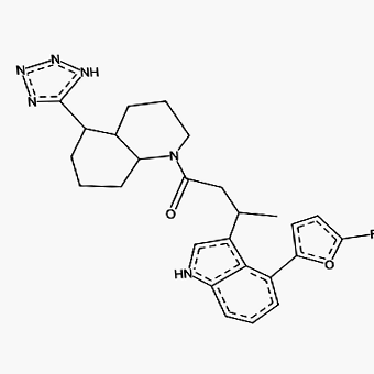 CC(CC(=O)N1CCCC2C(c3nnn[nH]3)CCCC21)c1c[nH]c2cccc(-c3ccc(F)o3)c12